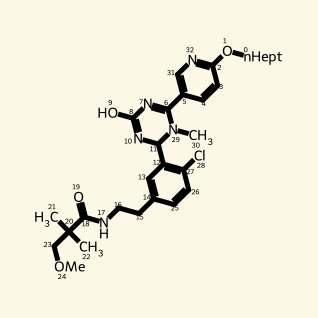 CCCCCCCOc1ccc(C2=NC(O)=NC(c3cc(CCNC(=O)C(C)(C)COC)ccc3Cl)N2C)cn1